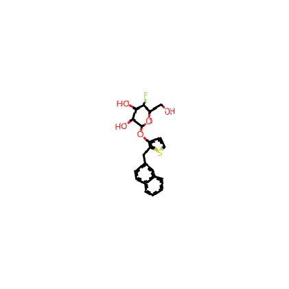 OCC1OC(Oc2ccsc2Cc2ccc3ccccc3c2)C(O)C(O)C1F